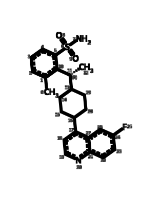 Cc1cccc(S(N)(=O)=O)c1[C@H](C)C1CCC(c2ccnc3ccc(F)cc23)CC1